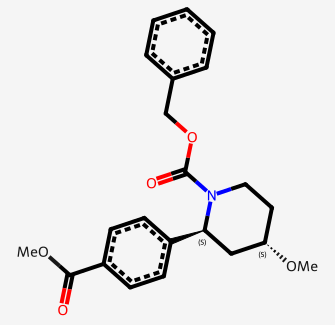 COC(=O)c1ccc([C@@H]2C[C@@H](OC)CCN2C(=O)OCc2ccccc2)cc1